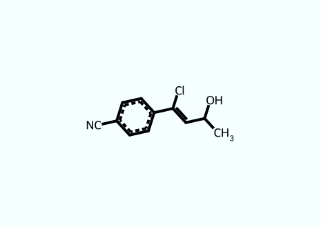 CC(O)C=C(Cl)c1ccc(C#N)cc1